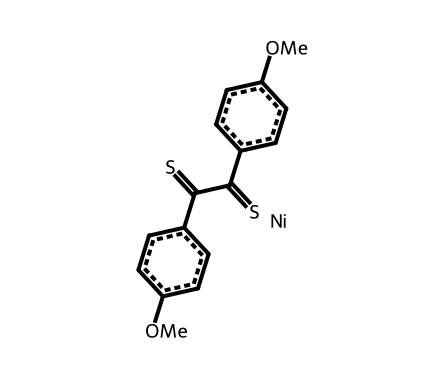 COc1ccc(C(=S)C(=S)c2ccc(OC)cc2)cc1.[Ni]